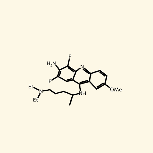 CCN(CC)CCCC(C)Nc1c2cc(OC)ccc2nc2c(F)c(N)c(F)cc12